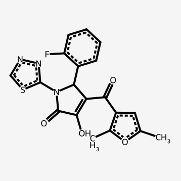 Cc1cc(C(=O)C2=C(O)C(=O)N(c3nncs3)C2c2ccccc2F)c(C)o1